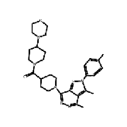 Cc1ccc(-n2nc3c(N4CCC(C(=O)N5CCC(N6CCOCC6)CC5)CC4)nnc(C)c3c2C)cc1